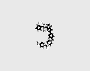 COC1CCN(C(=O)N2CCN(Cc3ccc(-c4cc5ncnc(N[C@H](CO)c6ccccc6)c5s4)cc3)CC2)CC1